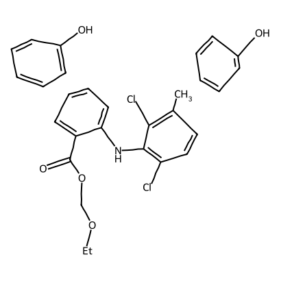 CCOCOC(=O)c1ccccc1Nc1c(Cl)ccc(C)c1Cl.Oc1ccccc1.Oc1ccccc1